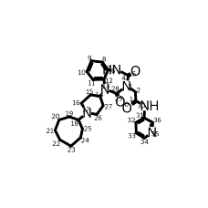 O=C(CN1C(=O)Nc2ccccc2N(C2CCN(C3CCCCCCC3)CC2)C1=O)Nc1cccnc1